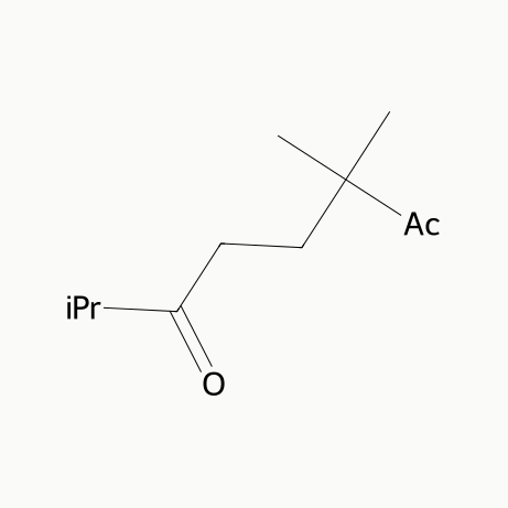 CC(=O)C(C)(C)CCC(=O)C(C)C